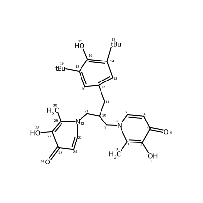 Cc1c(O)c(=O)ccn1CC(Cc1cc(C(C)(C)C)c(O)c(C(C)(C)C)c1)Cn1ccc(=O)c(O)c1C